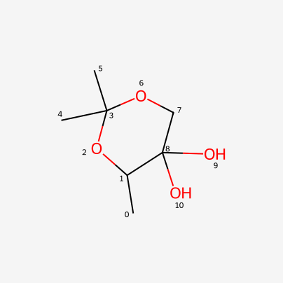 CC1OC(C)(C)OCC1(O)O